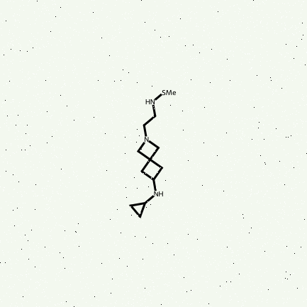 CSNCCN1CC2(CC(NC3CC3)C2)C1